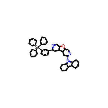 c1ccc([Si](c2ccccc2)(c2ccccc2)c2cccc(-c3cc4c(cn3)oc3cnc(-n5c6ccccc6c6ccccc65)cc34)c2)cc1